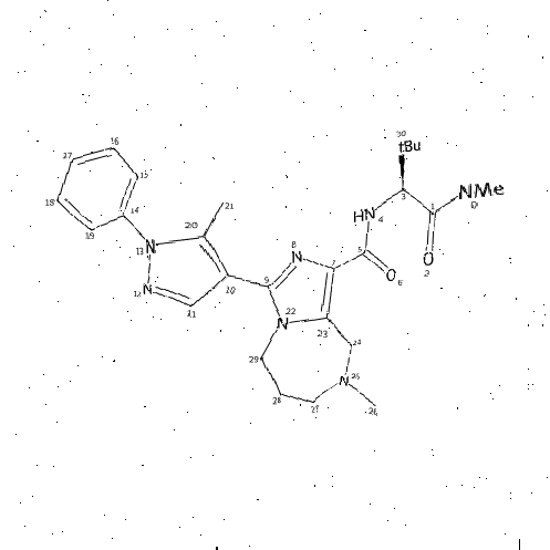 CNC(=O)[C@@H](NC(=O)c1nc(-c2cnn(-c3ccccc3)c2C)n2c1CN(C)CCC2)C(C)(C)C